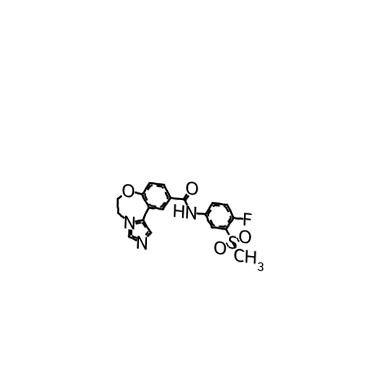 CS(=O)(=O)c1cc(NC(=O)c2ccc3c(c2)-c2cncn2CCO3)ccc1F